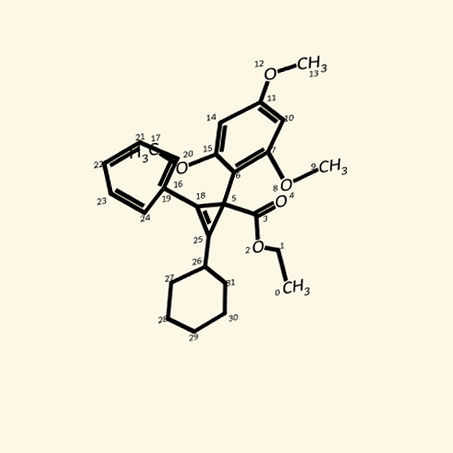 CCOC(=O)C1(c2c(OC)cc(OC)cc2OC)C(c2ccccc2)=C1C1CCCCC1